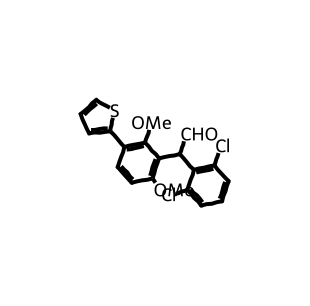 COc1ccc(-c2cccs2)c(OC)c1C(C=O)c1c(Cl)cccc1Cl